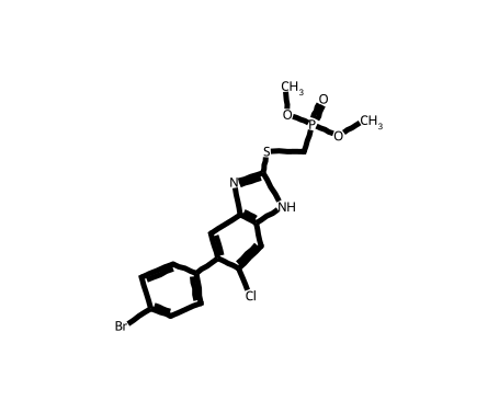 COP(=O)(CSc1nc2cc(-c3ccc(Br)cc3)c(Cl)cc2[nH]1)OC